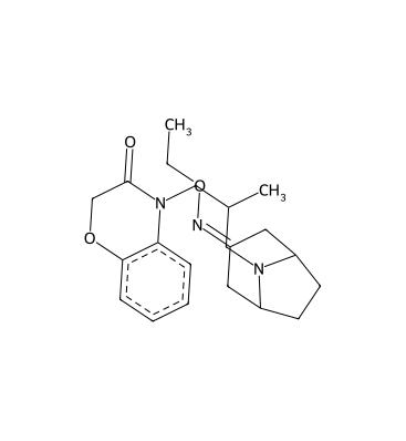 CCON=C1CC2CCC(C1)N2CC(C)CN1C(=O)COc2ccccc21